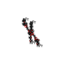 CCCC1CCC(c2ccc(-c3ccc4c(-c5c(OCCCCCCOc6cccc7c(C8CCC(CCC)CC8)cccc67)ccc6cc(-c7ccc(C8CCC(CCC)CC8)cc7)ccc56)c(OCCCCCCOc5cccc6c(C7CCC(CCC)CC7)cccc56)ccc4c3)cc2)CC1